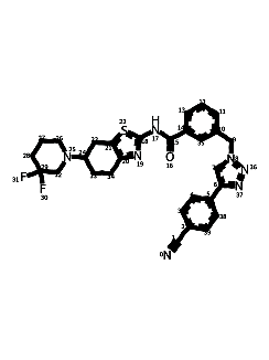 N#Cc1ccc(-c2cn(Cc3cccc(C(=O)Nc4nc5c(s4)CC(N4CCCC(F)(F)C4)CC5)c3)nn2)cc1